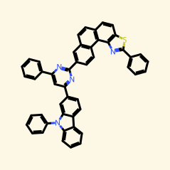 c1ccc(-c2cc(-c3ccc4c5ccccc5n(-c5ccccc5)c4c3)nc(-c3ccc4c(ccc5ccc6sc(-c7ccccc7)nc6c54)c3)n2)cc1